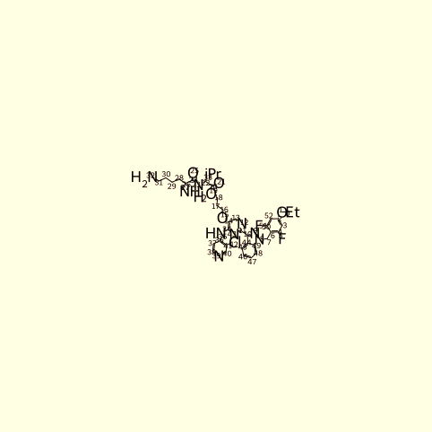 CCOc1cc(F)c(Cn2nc(-c3ncc(OCCCOC(=O)[C@@H](NC(=O)[C@@H](N)CCCCN)C(C)C)c(Nc4ccncc4Cl)n3)c3ccccc32)c(F)c1